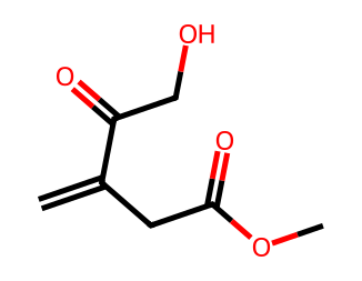 C=C(CC(=O)OC)C(=O)CO